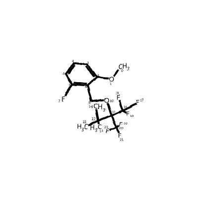 COc1cccc(F)c1COC(C(C)(C)C)(C(F)(F)F)C(F)(F)F